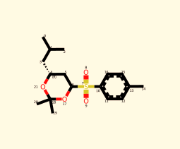 C[C](C)C[C@@H]1CC(S(=O)(=O)c2ccc(C)cc2)OC(C)(C)O1